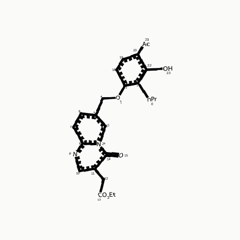 CCCc1c(OCc2ccc3ncc(CC(=O)OCC)c(=O)n3c2)ccc(C(C)=O)c1O